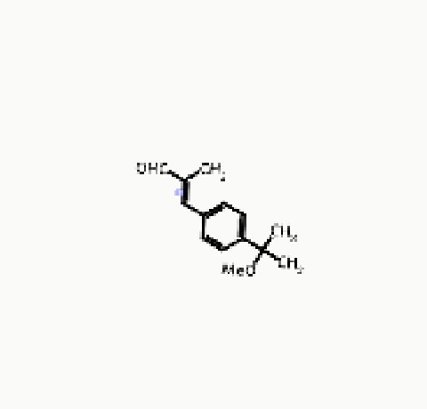 COC(C)(C)c1ccc(/C=C(\C)C=O)cc1